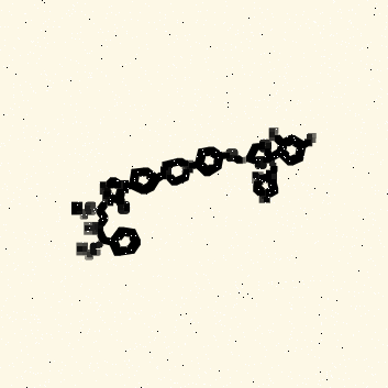 C[C@H](NC[C@H](C)n1ncn(-c2ccc(N3CCN(c4ccc(OC[C@@H]5CO[C@@](Cn6cncn6)(c6ccc(F)cc6F)O5)cc4)CC3)cc2)c1=O)c1ccccc1